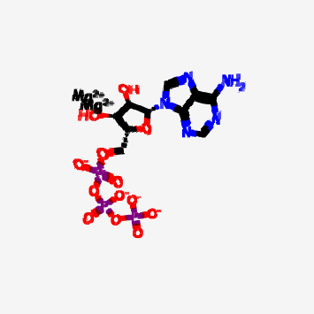 Nc1ncnc2c1ncn2[C@@H]1O[C@H](COP(=O)([O-])OP(=O)([O-])OP(=O)([O-])[O-])[C@@H](O)[C@H]1O.[Mg+2].[Mg+2]